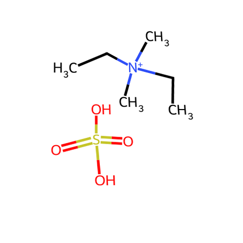 CC[N+](C)(C)CC.O=S(=O)(O)O